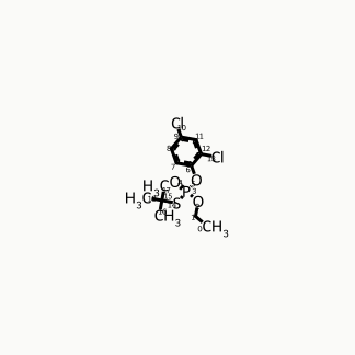 CCOP(=O)(Oc1ccc(Cl)cc1Cl)SC(C)(C)C